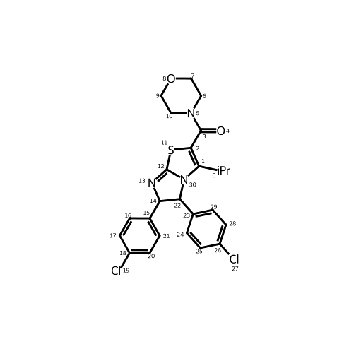 CC(C)C1=C(C(=O)N2CCOCC2)SC2=NC(c3ccc(Cl)cc3)C(c3ccc(Cl)cc3)N21